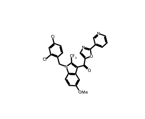 COc1ccc2c(c1)c(C(=O)c1cnc(-c3cccnc3)o1)c(C(F)(F)F)n2Cc1ccc(Cl)cc1Cl